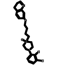 [O-][N+]1(CCCCOc2ccc3c(c2)N=CCC3)CCN(c2cccc(Cl)c2Cl)CC1